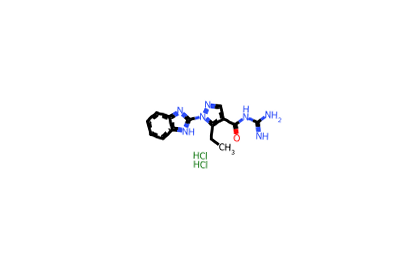 CCc1c(C(=O)NC(=N)N)cnn1-c1nc2ccccc2[nH]1.Cl.Cl